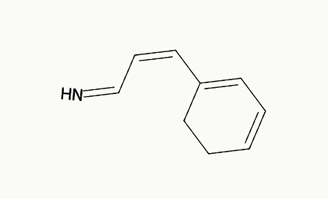 N=C/C=C\C1=CC=CCC1